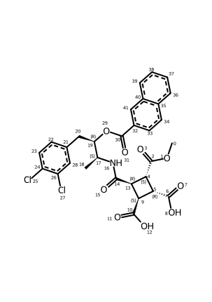 COC(=O)[C@@H]1[C@H](C(=O)O)[C@@H](C(=O)O)[C@H]1C(=O)N[C@@H](C)[C@@H](Cc1ccc(Cl)c(Cl)c1)OC(=O)c1ccc2ccccc2c1